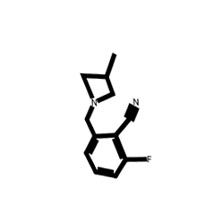 CC1CN(Cc2cccc(F)c2C#N)C1